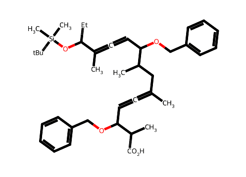 CCC(O[Si](C)(C)C(C)(C)C)C(C)=C=CC(OCc1ccccc1)C(C)CC(C)=C=CC(OCc1ccccc1)C(C)C(=O)O